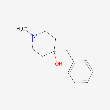 [CH2-][NH+]1CCC(O)(Cc2ccccc2)CC1